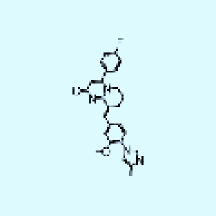 COc1cc(/C=C2\CCCn3c(-c4ccc(F)cc4)cc(=O)nc32)ccc1-n1cnc(C)c1